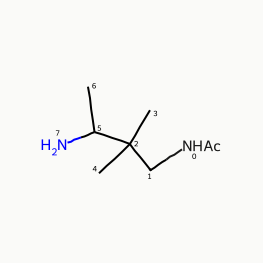 CC(=O)NCC(C)(C)C(C)N